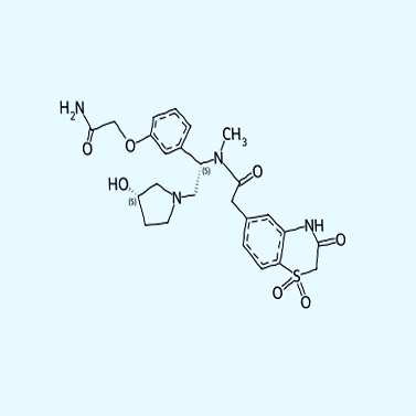 CN(C(=O)Cc1ccc2c(c1)NC(=O)CS2(=O)=O)[C@H](CN1CC[C@H](O)C1)c1cccc(OCC(N)=O)c1